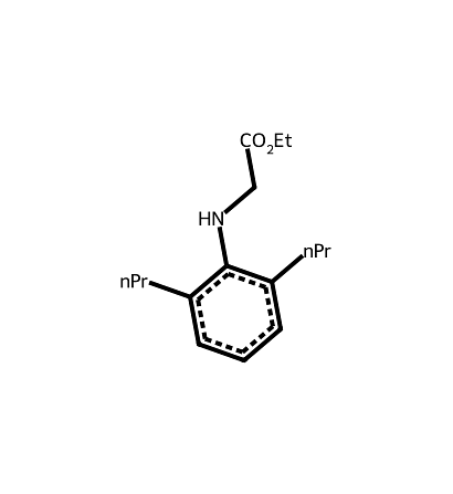 CCCc1cccc(CCC)c1NCC(=O)OCC